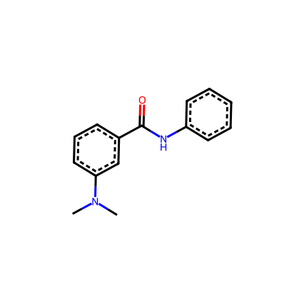 CN(C)c1cccc(C(=O)Nc2ccccc2)c1